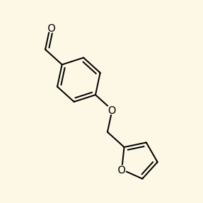 O=Cc1ccc(OCc2ccco2)cc1